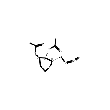 CC(=O)O[C@@H]1[C@H](CN=[N+]=[N-])OCC[C@H]1OC(C)=O